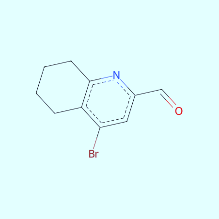 O=Cc1cc(Br)c2c(n1)CCCC2